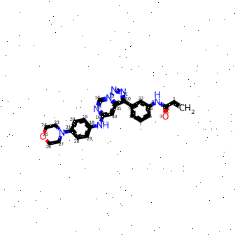 C=CC(=O)Nc1cccc(-c2nnn3cnc(Nc4ccc(N5CCOCC5)cc4)cc23)c1